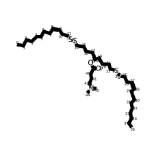 CCCCCCCC/C=C\CCSSCCCCC(CCCCSSCC/C=C\CCCCCCCC)OC(=O)CCCN(C)C